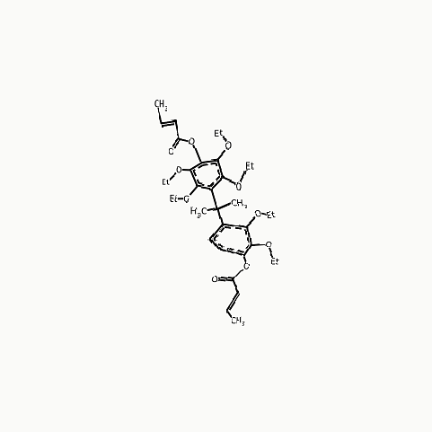 CC=CC(=O)Oc1ccc(C(C)(C)c2c(OCC)c(OCC)c(OC(=O)C=CC)c(OCC)c2OCC)c(OCC)c1OCC